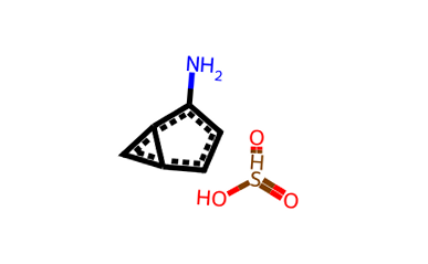 Nc1ccc2cc1-2.O=[SH](=O)O